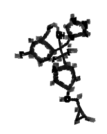 OC(Cn1cnnn1)(c1ccc(F)cc1F)C(F)(F)c1ccc(OCC2CC2)cn1